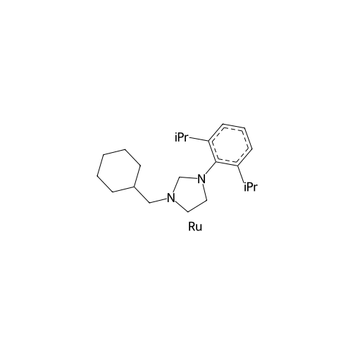 CC(C)c1cccc(C(C)C)c1N1CCN(CC2CCCCC2)C1.[Ru]